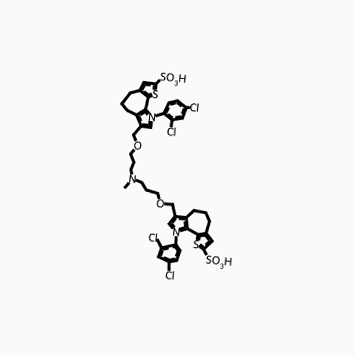 CN(CCCOCc1cn(-c2ccc(Cl)cc2Cl)c2c1CCCc1cc(S(=O)(=O)O)sc1-2)CCCOCc1cn(-c2ccc(Cl)cc2Cl)c2c1CCCc1cc(S(=O)(=O)O)sc1-2